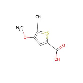 COc1cc(C(=O)O)sc1C